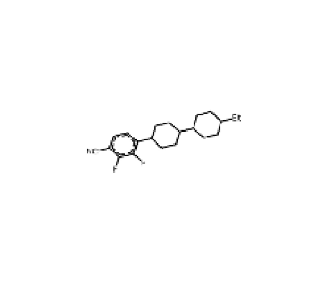 CCC1CCC(C2CCC(c3ccc(C#N)c(F)c3F)CC2)CC1